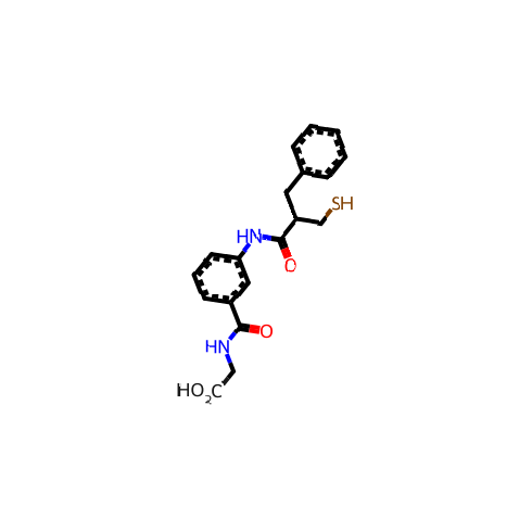 O=C(O)CNC(=O)c1cccc(NC(=O)C(CS)Cc2ccccc2)c1